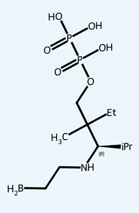 BCCN[C@H](C(C)C)C(C)(CC)COP(=O)(O)P(=O)(O)O